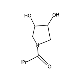 CC(C)C(=O)N1CC(O)C(O)C1